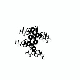 CC(C)(C)c1ccc(N(c2ccc(C(C)(C)C)cc2)c2cccc(N(c3ccccc3)c3cc(C(C)(C)C)cc(-n4cnc5ccc(C(C)(C)C)cc54)c3Cl)c2)cc1